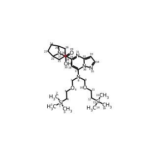 C[Si](C)(C)CCOCN(COCC[Si](C)(C)C)c1cc(C2CC3CCC(C2)N3C(=O)O)nc2ccnn12